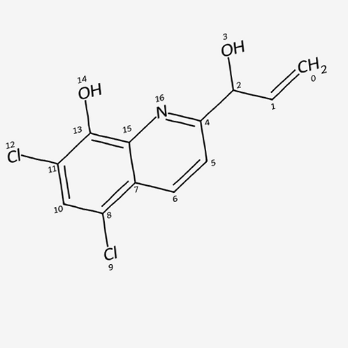 C=CC(O)c1ccc2c(Cl)cc(Cl)c(O)c2n1